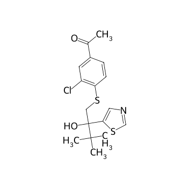 CC(=O)c1ccc(SCC(O)(c2cncs2)C(C)(C)C)c(Cl)c1